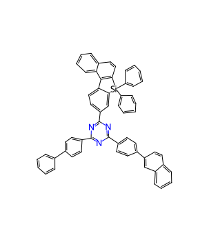 c1ccc(-c2ccc(-c3nc(-c4ccc(-c5ccc6ccccc6c5)cc4)nc(-c4ccc5c(c4)[Si](c4ccccc4)(c4ccccc4)c4ccc6ccccc6c4-5)n3)cc2)cc1